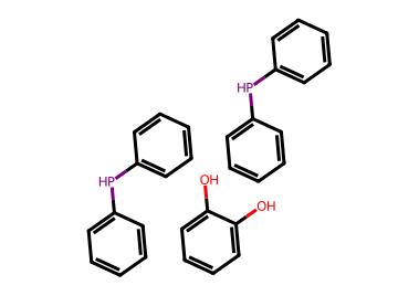 Oc1ccccc1O.c1ccc(Pc2ccccc2)cc1.c1ccc(Pc2ccccc2)cc1